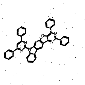 c1ccc(-c2cc(-c3ccccc3)nc(-n3c4ccccc4c4cc5c(cc43)oc3c(-c4ccccc4)nc(-c4ccccc4)nc35)n2)cc1